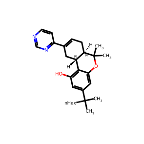 CCCCCCC(C)(C)c1cc(O)c2c(c1)OC(C)(C)[C@@H]1CC=C(c3ccncn3)C[C@@H]21